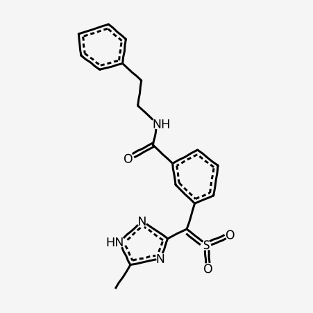 Cc1nc(C(c2cccc(C(=O)NCCc3ccccc3)c2)=S(=O)=O)n[nH]1